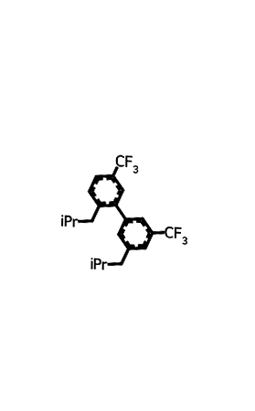 CC(C)Cc1cc(-c2cc(C(F)(F)F)ccc2CC(C)C)cc(C(F)(F)F)c1